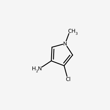 Cn1cc(N)c(Cl)c1